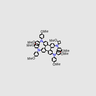 COc1ccc(N(c2ccc(OC)cc2)c2ccc3c(c2)-c2cc(N(c4ccc(OC)cc4)c4ccc(OC)cc4)ccc2-c2ccc(N(c4ccc(OC)cc4)[C@@H]4CCC4OC)cc2-c2cc(N(c4ccc(OC)cc4)c4ccc(OC)cc4)ccc2-3)cc1